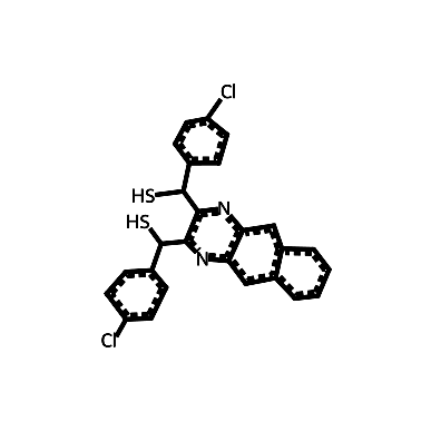 SC(c1ccc(Cl)cc1)c1nc2cc3ccccc3cc2nc1C(S)c1ccc(Cl)cc1